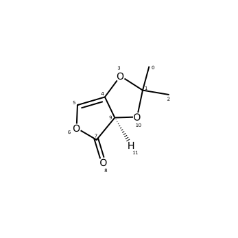 CC1(C)OC2=COC(=O)[C@@H]2O1